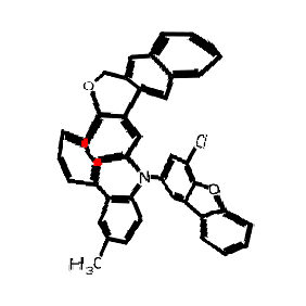 Cc1ccc(N(c2ccc3c(c2)-c2cc4ccccc4cc2CO3)c2cc(Cl)c3oc4ccccc4c3c2)c(-c2ccccc2)c1